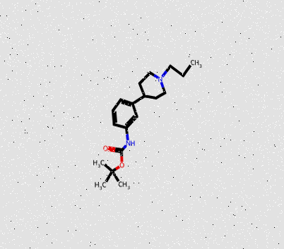 CCCN1CCC(c2cccc(NC(=O)OC(C)(C)C)c2)CC1